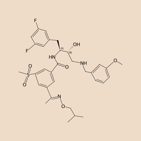 COc1cccc(CNC[C@@H](O)[C@H](Cc2cc(F)cc(F)c2)NC(=O)c2cc(C(C)=NOCC(C)C)cc(S(C)(=O)=O)c2)c1